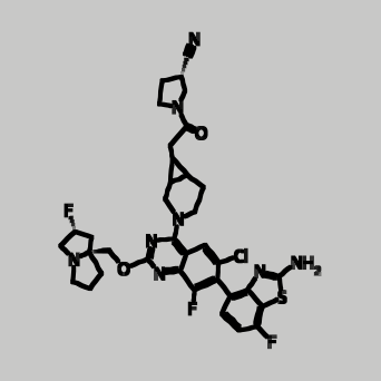 N#C[C@H]1CCN(C(=O)CC2C3CCN(c4nc(OC[C@@]56CCCN5C[C@H](F)C6)nc5c(F)c(-c6ccc(F)c7sc(N)nc67)c(Cl)cc45)CC32)C1